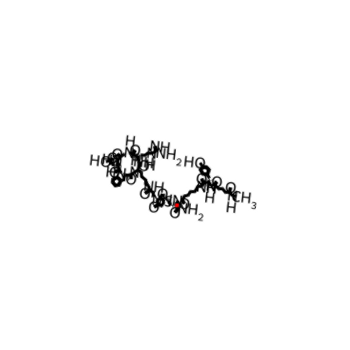 CNC(=O)CCCC(=O)N[C@@H](Cc1ccc(O)cc1)C(=O)NCCCCCC(=O)N[C@@H](CSC1CC(=O)N(CCC(=O)NCCCCC2NC(=O)[C@@H](Cc3ccccc3)NC(=O)[C@@H](CC(=O)O)NC(=O)CNC(=O)[C@H](CCCNC(=N)N)NC2=O)C1=O)C(N)=O